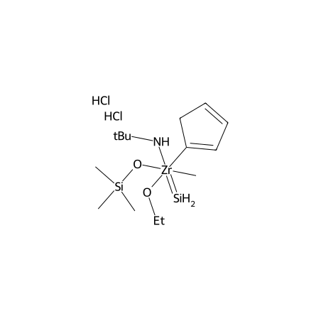 CC[O][Zr]([CH3])(=[SiH2])([NH]C(C)(C)C)([O][Si](C)(C)C)[C]1=CC=CC1.Cl.Cl